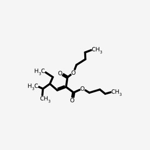 CCCCOC(=O)C(=CC(CC)C(C)C)C(=O)OCCCC